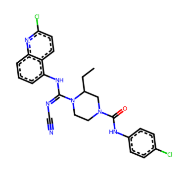 CCC1CN(C(=O)Nc2ccc(Cl)cc2)CCN1/C(=N\C#N)Nc1cccc2nc(Cl)ccc12